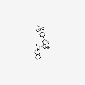 CC(C)S(=O)(=O)c1ccc(-c2cnc3[nH]cc(C(=O)N4CCc5ccccc5C4)c3c2)cc1